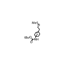 CSOCCC12CCC(NC(=O)OC(C)(C)C)(CC1)CC2